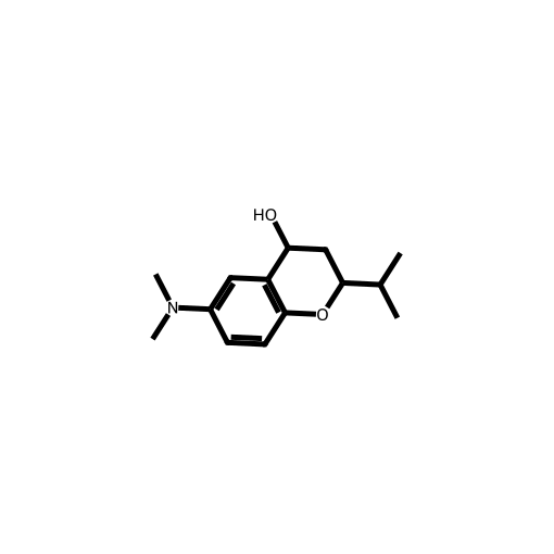 CC(C)C1CC(O)c2cc(N(C)C)ccc2O1